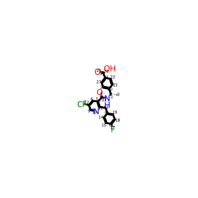 C[C@H](NC(=O)c1cc(Cl)cnc1Cc1ccc(F)cc1)c1ccc(C(=O)O)cc1